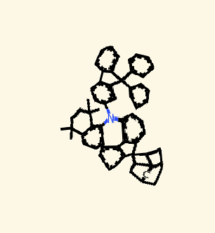 CC1(C)CCC(C)(C)c2c(N(c3ccc4c(c3)C(c3ccccc3)(c3ccccc3)c3ccccc3-4)c3cccc4c3-c3ccccc3C43C4CC5CC6CC3C64C5)cccc21